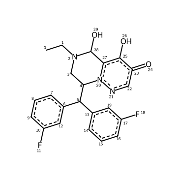 CCN1CC(C(c2cccc(F)c2)c2cccc(F)c2)n2ncc(=O)c(O)c2C1O